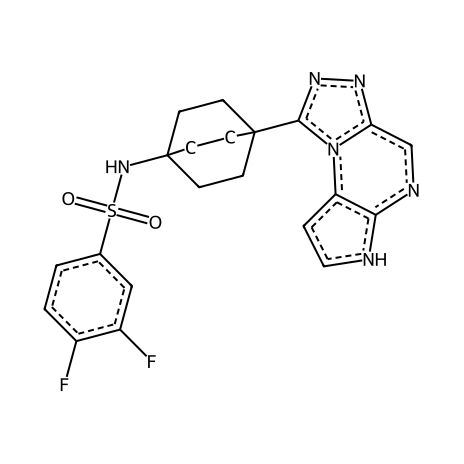 O=S(=O)(NC12CCC(c3nnc4cnc5[nH]ccc5n34)(CC1)CC2)c1ccc(F)c(F)c1